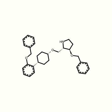 c1ccc(COc2ccccc2[C@H]2CC[C@@H](OC[C@@H]3NCC[C@H]3OCc3ccccc3)CC2)cc1